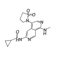 CNc1ncc(N2CCCS2(=O)=O)c2cc(NC(=O)C3CC3)ncc12